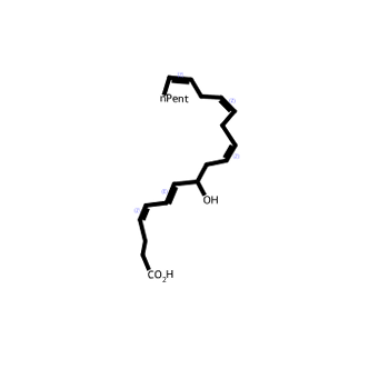 CCCCC/C=C\C/C=C\C/C=C\CC(O)/C=C/C=C\CCC(=O)O